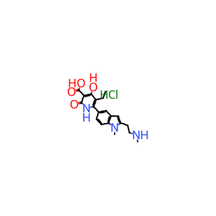 CCc1c(-c2ccc3c(c2)cc(CCNC)n3C)[nH]c(=O)c(C(=O)O)c1O.Cl